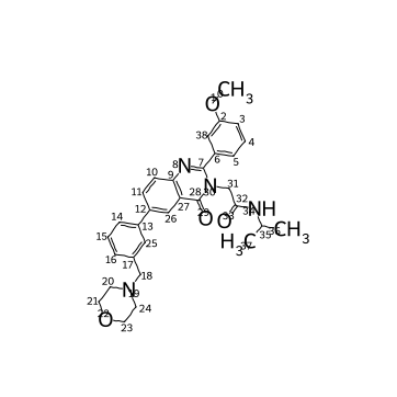 COc1cccc(-c2nc3ccc(-c4cccc(CN5CCOCC5)c4)cc3c(=O)n2CC(=O)NC(C)C)c1